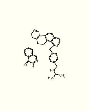 CC(C)NCc1ccc(Cc2cccc3ccc4c(c23)CCC2=C4C=CCC2)cc1.O=c1[nH]ncc2ccccc12